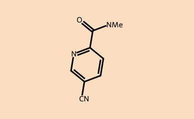 CNC(=O)c1ccc(C#N)cn1